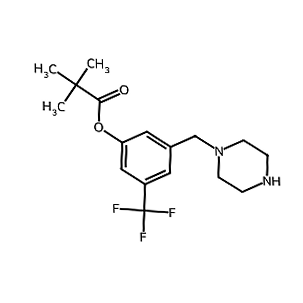 CC(C)(C)C(=O)Oc1cc(CN2CCNCC2)cc(C(F)(F)F)c1